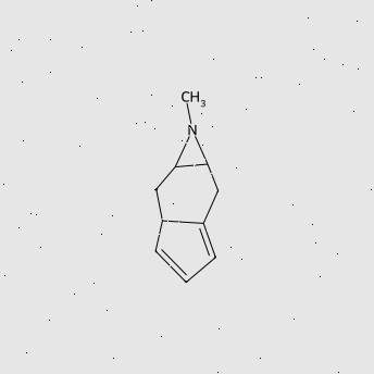 CN1C2CC3=CC=CC3CC21